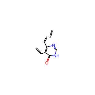 C=C/C=C\c1nc[nH]c(=O)c1C=C